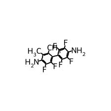 Cc1c(C)c(-c2c(F)c(F)c(N)c(F)c2F)c(F)c(F)c1N